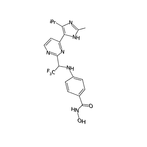 Cc1nc(C(C)C)c(-c2ccnc(C(Nc3ccc(C(=O)NO)cc3)C(F)(F)F)n2)[nH]1